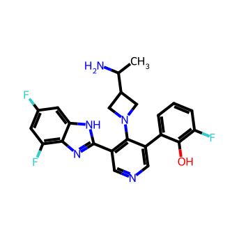 CC(N)C1CN(c2c(-c3nc4c(F)cc(F)cc4[nH]3)cncc2-c2cccc(F)c2O)C1